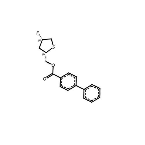 O=C(OC[C@@H]1C[C@H](F)CS1)c1ccc(-c2ccccc2)cc1